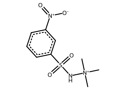 C[N+](C)(C)NS(=O)(=O)c1cccc([N+](=O)[O-])c1